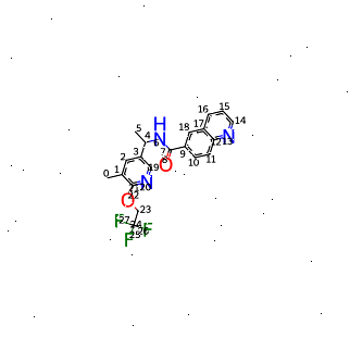 Cc1cc(C(C)NC(=O)c2ccc3ncccc3c2)cnc1OCC(F)(F)F